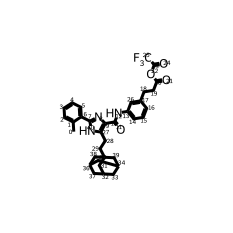 Cc1ccccc1-c1nc(C(=O)Nc2cccc(CCC(=O)OC(=O)C(F)(F)F)c2)c(CCC23CC4CC(CC(C4)C2)C3)[nH]1